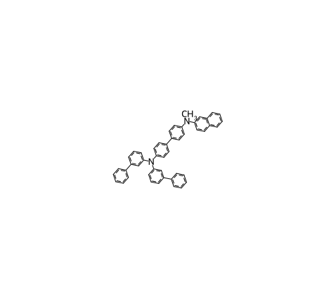 CN(c1ccc(-c2ccc(N(c3cccc(-c4ccccc4)c3)c3cccc(-c4ccccc4)c3)cc2)cc1)c1ccc2ccccc2c1